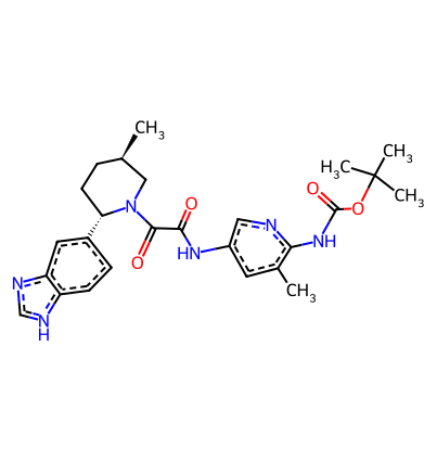 Cc1cc(NC(=O)C(=O)N2C[C@H](C)CC[C@H]2c2ccc3[nH]cnc3c2)cnc1NC(=O)OC(C)(C)C